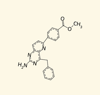 COC(=O)c1ccc(-c2ccc3nc(N)nc(Cc4ccccc4)c3n2)cc1